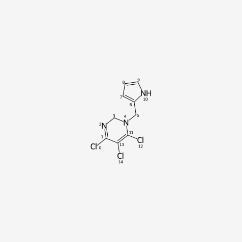 ClC1=NCN(Cc2ccc[nH]2)C(Cl)=C1Cl